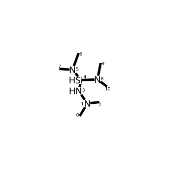 CN(C)N[SiH](N(C)C)N(C)C